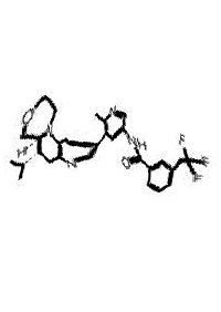 Cc1ncc(NC(=O)c2cccc(C(F)(F)F)c2)cc1-c1cnc2c(c1)N1CCOC[C@@H]1[C@@H](C(C)C)C2